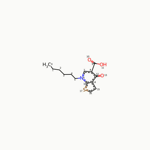 CCCCCCn1cc(C(=O)O)c(=O)c2ccsc21